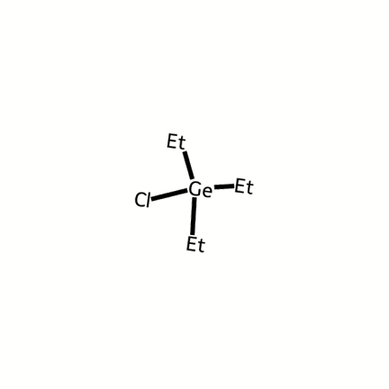 C[CH2][Ge]([Cl])([CH2]C)[CH2]C